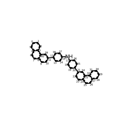 c1ccc2c(c1)ccc1ccc(-c3ccc(Nc4ccc(-c5ccc6ccc7ccccc7c6c5)cc4)cc3)cc12